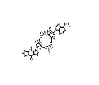 Nc1ncnc2c1ncn2[C@@H]1O[C@@H]2COP(=O)(S)OC[C@@H]3[C@@H](COP(=O)(S)O[C@H]2[C@H]1F)C[C@H]3n1cnc2c1NC1=NN=NC1C2=O